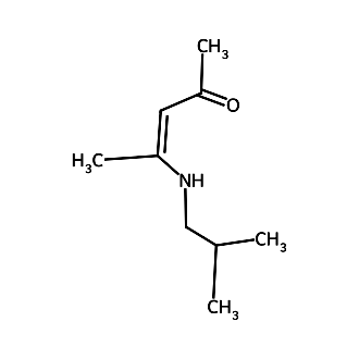 CC(=O)C=C(C)NCC(C)C